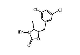 CC(C)N1C(=O)O[C@H](Cc2cc(Cl)cc(Cl)c2)[C@@H]1C